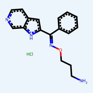 Cl.NCCCO/N=C(\c1ccccc1)c1cc2ccncc2[nH]1